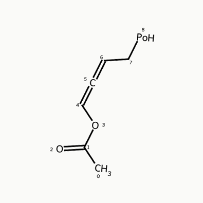 CC(=O)OC=C=C[CH2][PoH]